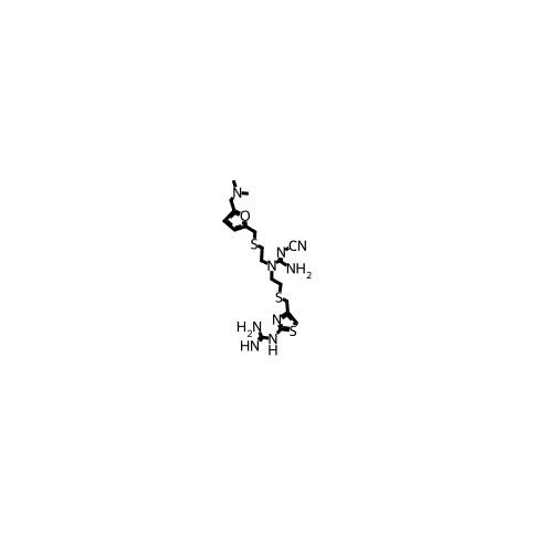 CN(C)Cc1ccc(CSCCN(CCSCc2csc(NC(=N)N)n2)C(N)=NC#N)o1